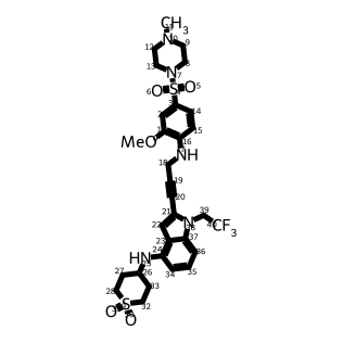 COc1cc(S(=O)(=O)N2CCN(C)CC2)ccc1NCC#Cc1cc2c(NC3CCS(=O)(=O)CC3)cccc2n1CC(F)(F)F